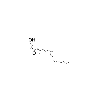 C/C(=C\C(=O)N(C)CCO)CCCC(C)CCCC(C)CCCC(C)C